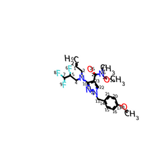 C=CCN(CC(F)C(F)F)c1nn(Cc2ccc(OC)cc2)cc1C(=O)N(C)OC